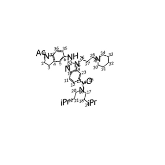 CC(=O)N1CCc2cc(Nc3nc4ccc(C(=O)N(CCC(C)C)CCC(C)C)cc4n3CCCN3CCCCC3)ccc21